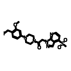 COc1cc(N2CCN(C(=O)Cn3ncc4c(S(C)(=O)=O)ccnc43)CC2)ccc1CI